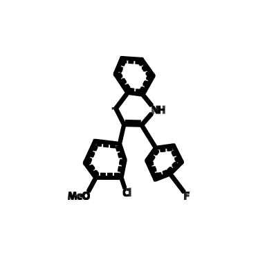 COc1ccc(C2=C(c3ccc(F)cc3)Nc3ccccc3[CH]2)cc1Cl